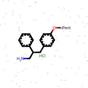 CCCCCOc1ccc(CC(CN)c2ccccc2)cc1.Cl